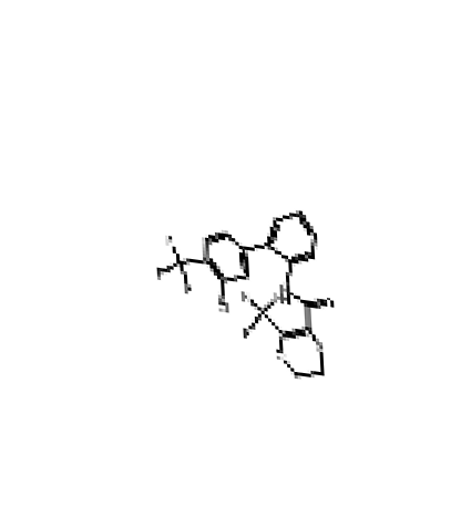 O=C(Nc1ccccc1-c1ccc(C(F)(F)F)c(Cl)c1)C1=C(C(F)(F)F)OCCS1